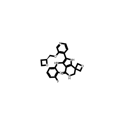 COc1c(F)cccc1Nc1c(-c2ccncc2OC[C@@H]2CCO2)[nH]c2c1C(=O)NCC21COC1